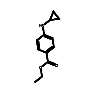 CCOC(=O)c1ccc(NC2CC2)cc1